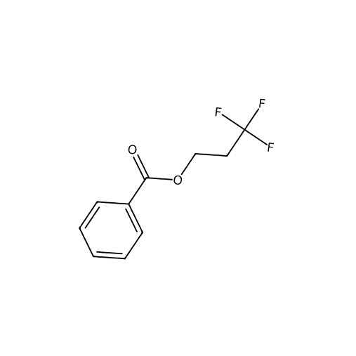 O=C(OCCC(F)(F)F)c1ccccc1